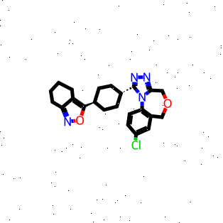 Clc1ccc2c(c1)COCc1nnc([C@H]3CC[C@H](c4onc5c4CCCC5)CC3)n1-2